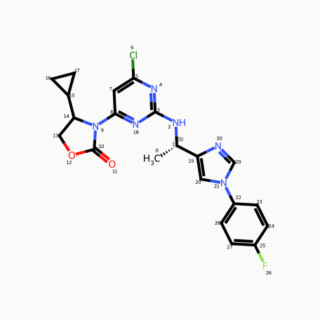 C[C@H](Nc1nc(Cl)cc(N2C(=O)OCC2C2CC2)n1)c1cn(-c2ccc(F)cc2)cn1